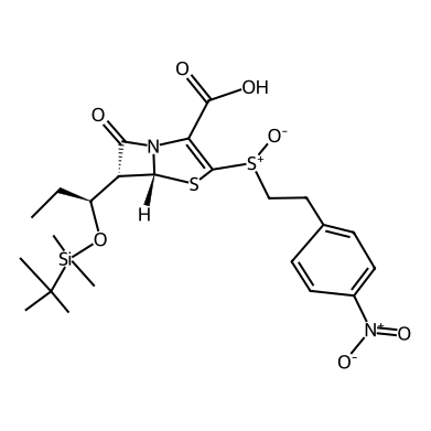 CC[C@H](O[Si](C)(C)C(C)(C)C)[C@@H]1C(=O)N2C(C(=O)O)=C([S+]([O-])CCc3ccc([N+](=O)[O-])cc3)S[C@H]12